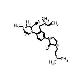 C=CN(C)Cc1cc(N2CC[C@@H](CCN(C)C)C2=O)ccc1N(/C=C\NC)C(C)C#N